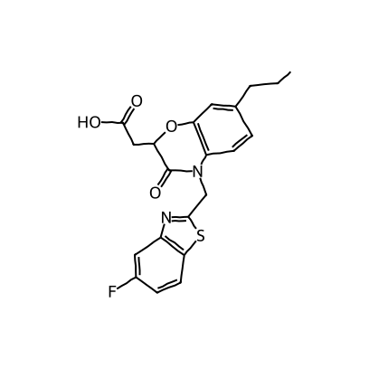 CCCc1ccc2c(c1)OC(CC(=O)O)C(=O)N2Cc1nc2cc(F)ccc2s1